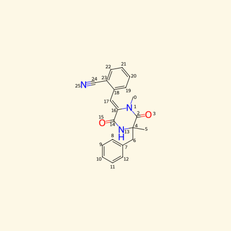 CN1C(=O)C(C)(Cc2ccccc2)NC(=O)/C1=C/c1ccccc1C#N